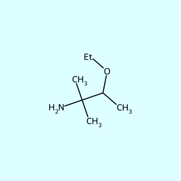 CCOC(C)C(C)(C)N